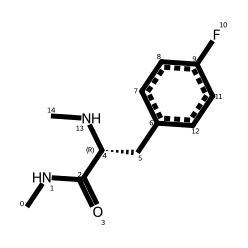 CNC(=O)[C@@H](Cc1ccc(F)cc1)NC